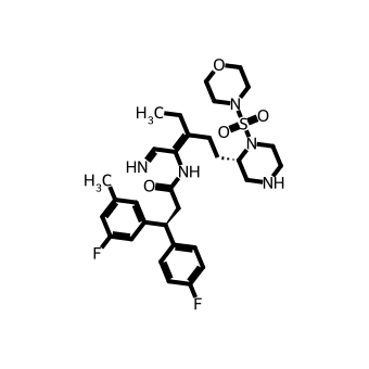 CC/C(CC[C@H]1CNCCN1S(=O)(=O)N1CCOCC1)=C(\C=N)NC(=O)C[C@@H](c1ccc(F)cc1)c1cc(C)cc(F)c1